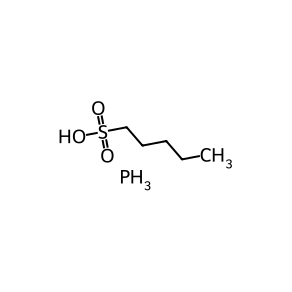 CCCCCS(=O)(=O)O.P